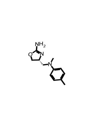 Cc1ccc(N(C)C[C@@H]2COC(N)=N2)cc1